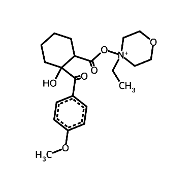 CC[N+]1(OC(=O)C2CCCCC2(O)C(=O)c2ccc(OC)cc2)CCOCC1